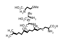 CC(C)=CCC/C(C)=C/CC/C(C)=C/CSC[C@H](N)C(=O)O.CC(C)[C@H](N)C(=O)O.CC[C@H](C)[C@H](N)C(=O)O.CSCC[C@H](N)C(=O)O